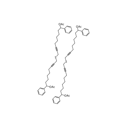 CC(=O)OC(CCCCCC#CCSCC#CCCCCCC(OC(C)=O)c1ccccc1)c1ccccc1.CC(=O)OC(CCCCCCC#CCSCC#CCCCCCCC(OC(C)=O)c1ccccc1)c1ccccc1